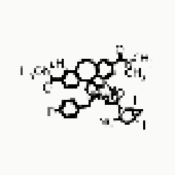 CN(C)C(=O)c1ccc2c(c1)CCc1cc(C(=O)N(C)C)ccc1C2(C[C@H](Cc1ccc(F)cc1)NCC(=O)N1C(C#N)C[C@@H]2C[C@@H]21)c1nnn[nH]1